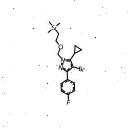 C[Si](C)(C)CCOCn1nc(-c2ccc(F)cc2)c(Br)c1C1CC1